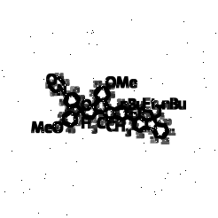 CCCCC(CC)CC1(CC(CC)CCCC)c2ccccc2-c2ccc(-c3ccc4c(c3)C(C)(C)c3c5c(c6ccc(OC)cc6c3-4)OC(c3ccc(OC)cc3)(c3ccc(N4CCOCC4)cc3)C=C5)cc21